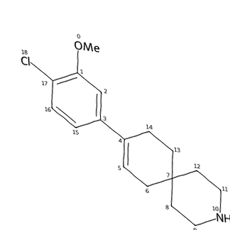 COc1cc(C2=CCC3(CCNCC3)CC2)ccc1Cl